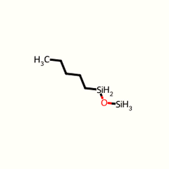 CCCCC[SiH2]O[SiH3]